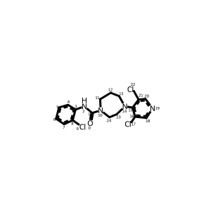 O=C(Nc1ccccc1Cl)N1CCCN(c2c(Cl)cncc2Cl)CC1